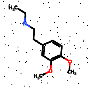 CC[N]CCc1ccc(OC)c(OC)c1